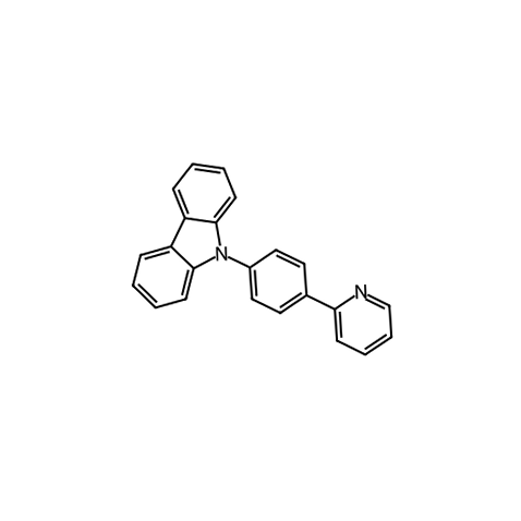 c1ccc(-c2ccc(-n3c4ccccc4c4ccccc43)cc2)nc1